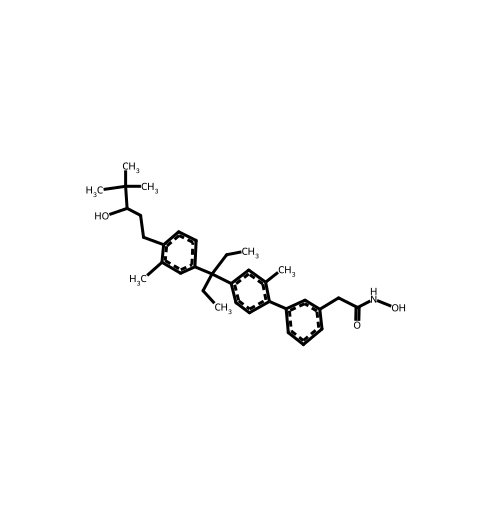 CCC(CC)(c1ccc(CCC(O)C(C)(C)C)c(C)c1)c1ccc(-c2cccc(CC(=O)NO)c2)c(C)c1